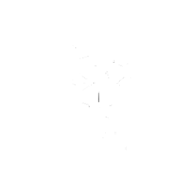 NC(=O)Oc1[nH]c2ccc(CNCC(O)CO)cc2c1Sc1ccccc1